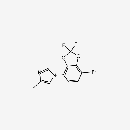 Cc1cn(-c2ccc(C(C)C)c3c2OC(F)(F)O3)cn1